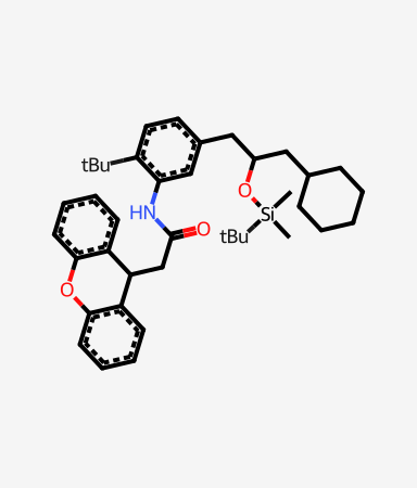 CC(C)(C)c1ccc(CC(CC2CCCCC2)O[Si](C)(C)C(C)(C)C)cc1NC(=O)CC1c2ccccc2Oc2ccccc21